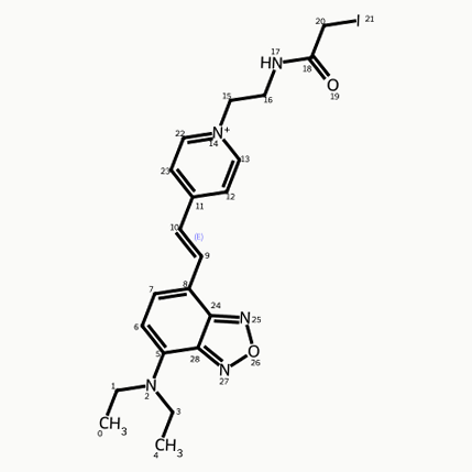 CCN(CC)c1ccc(/C=C/c2cc[n+](CCNC(=O)CI)cc2)c2nonc12